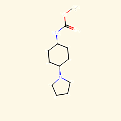 CC(C)(C)OC(=O)N[C@H]1CC[C@@H](N2CCCC2)CC1